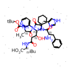 CC[C@H](C)[C@H](NC(=O)C[C@H](O)[C@H](CC1CCCCC1)[N+](C(=O)[C@H](C)NC(=O)OC(C)(C)C)(C(=O)[C@H](Cc1c[nH]cn1)NC(=O)[C@@H](N)Cc1ccccc1)c1cccnc1)C(=O)O